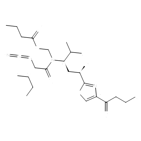 CCCC(=O)OCN(C(=O)[C@@H](N=[N+]=[N-])C(C)CC)[C@H](C[C@@H](O)c1nc(C(=O)CCC)cs1)C(C)C